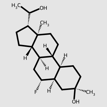 CC(O)[C@H]1CC[C@H]2[C@@H]3C[C@@H](F)[C@@H]4C[C@](C)(O)CC[C@@H]4[C@H]3CC[C@]12C